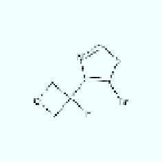 FC1(c2ncsc2Br)COC1